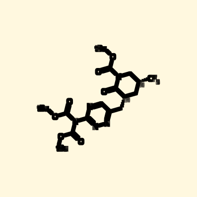 CC(C)(C)OC(=O)N1C[C@H](C(F)(F)F)C[C@H](Cc2cnc(N(C(=O)OC(C)(C)C)C(=O)OC(C)(C)C)nn2)C1=O